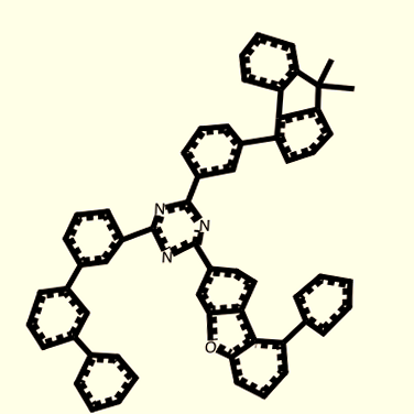 CC1(C)c2ccccc2-c2c(-c3cccc(-c4nc(-c5cccc(-c6cccc(-c7ccccc7)c6)c5)nc(-c5ccc6c(c5)oc5cccc(-c7ccccc7)c56)n4)c3)cccc21